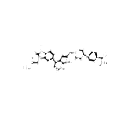 CN(C)C(=O)c1ccc(C2CCN(Cc3cc4c(-c5ccc6[nH]c(=O)n(CC(=O)O)c6c5)ccnc4n3C)CC2)cc1